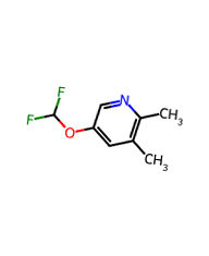 Cc1cc(OC(F)F)cnc1C